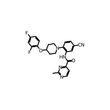 Cc1nccc(C(=O)Nc2cc(C#N)ccc2N2CCC(Oc3ccc(F)cc3F)CC2)n1